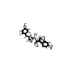 COc1ccc2c(C(=O)Nc3ncc(Cc4ccc(F)cc4)s3)coc2c1